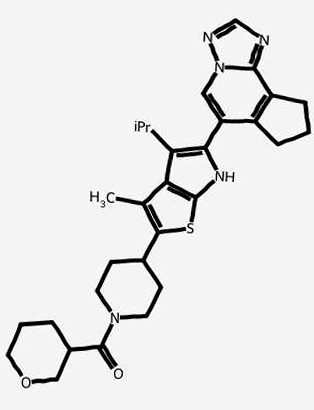 Cc1c(C2CCN(C(=O)C3CCCOC3)CC2)sc2[nH]c(-c3cn4ncnc4c4c3CCC4)c(C(C)C)c12